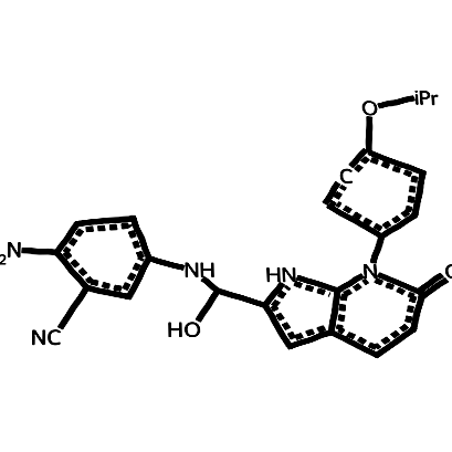 CC(C)Oc1ccc(-n2c(=O)ccc3cc(C(O)Nc4ccc(N)c(C#N)c4)[nH]c32)cc1